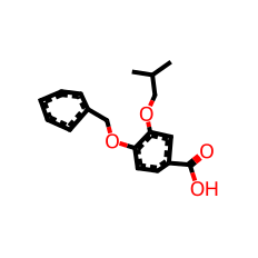 CC(C)COc1cc(C(=O)O)ccc1OCc1ccccc1